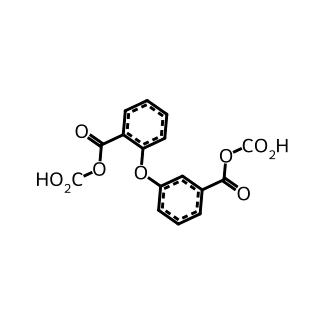 O=C(O)OC(=O)c1cccc(Oc2ccccc2C(=O)OC(=O)O)c1